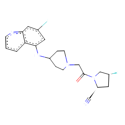 N#C[C@@H]1C[C@H](F)CN1C(=O)CN1CCC(Nc2cc(F)cc3ncccc23)CC1